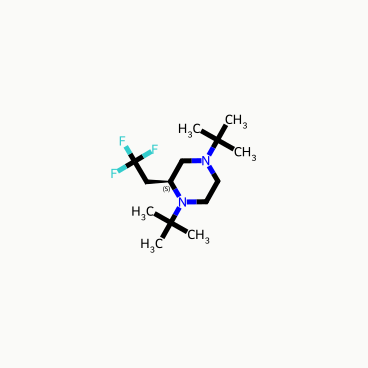 CC(C)(C)N1CCN(C(C)(C)C)[C@@H](CC(F)(F)F)C1